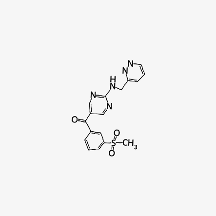 CS(=O)(=O)c1cccc(C(=O)c2cnc(NCc3cccnn3)nc2)c1